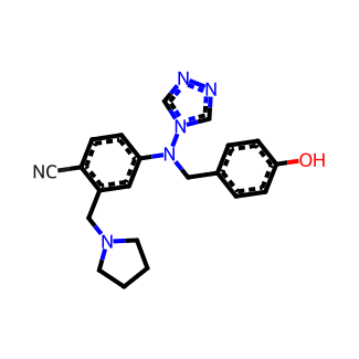 N#Cc1ccc(N(Cc2ccc(O)cc2)n2cnnc2)cc1CN1CCCC1